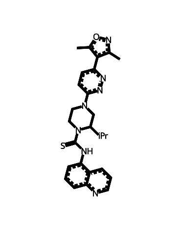 Cc1noc(C)c1-c1ccc(N2CCN(C(=S)Nc3cccc4ncccc34)C(C(C)C)C2)nn1